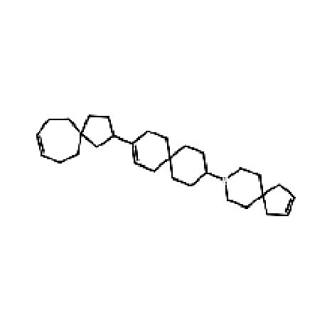 C1=CCCC2(CC1)CCC(C1=CCC3(CC1)CCC(N1CCC4(CC=CC4)CC1)CC3)C2